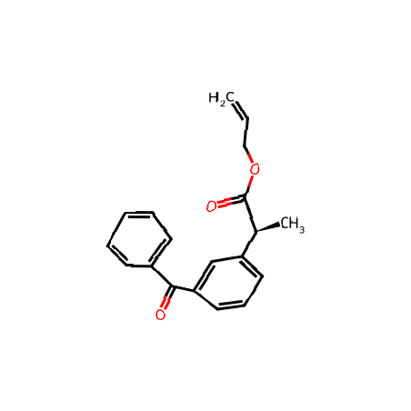 C=CCOC(=O)[C@@H](C)c1cccc(C(=O)c2ccccc2)c1